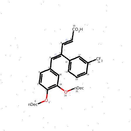 CCCCCCCCCCOc1ccc(/C=C(/C=C/C(=O)O)c2cccc(C(F)(F)F)c2)cc1OCCCCCCCCCC